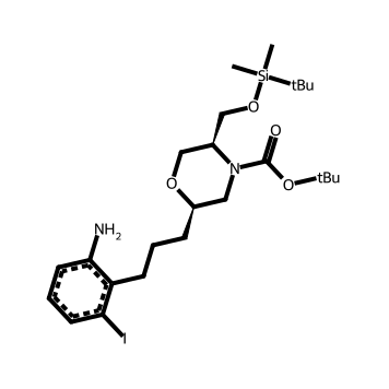 CC(C)(C)OC(=O)N1C[C@@H](CCCc2c(N)cccc2I)OC[C@H]1CO[Si](C)(C)C(C)(C)C